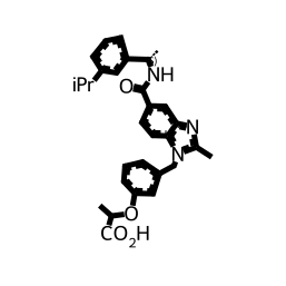 Cc1nc2cc(C(=O)N[C@@H](C)c3cccc(C(C)C)c3)ccc2n1Cc1cccc(OC(C)C(=O)O)c1